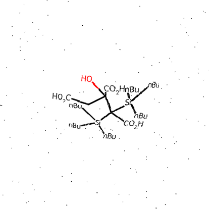 CCCC[Si](CCCC)(CCCC)C(C(=O)O)(C(O)(CC(=O)O)C(=O)O)[Si](CCCC)(CCCC)CCCC